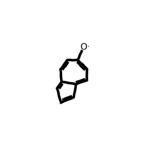 [O]c1ccc2cccc-2cc1